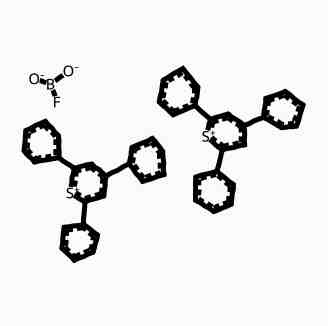 [O-]B([O-])F.c1ccc(-c2cc(-c3ccccc3)[s+]c(-c3ccccc3)c2)cc1.c1ccc(-c2cc(-c3ccccc3)[s+]c(-c3ccccc3)c2)cc1